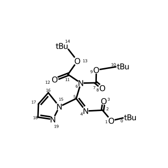 CC(C)(C)OC(=O)/N=C(\N(C(=O)OC(C)(C)C)C(=O)OC(C)(C)C)n1cccn1